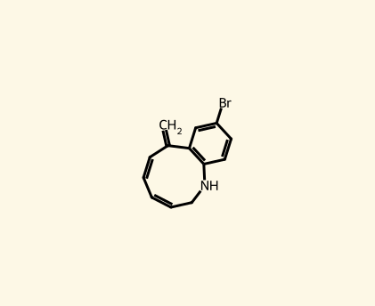 C=C1/C=C\C=C/CNc2ccc(Br)cc21